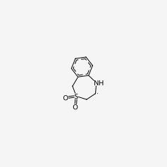 O=S1(=O)C[CH]Nc2ccccc2C1